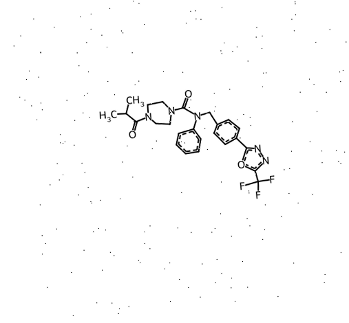 CC(C)C(=O)N1CCN(C(=O)N(Cc2ccc(-c3nnc(C(F)(F)F)o3)cc2)c2ccccc2)CC1